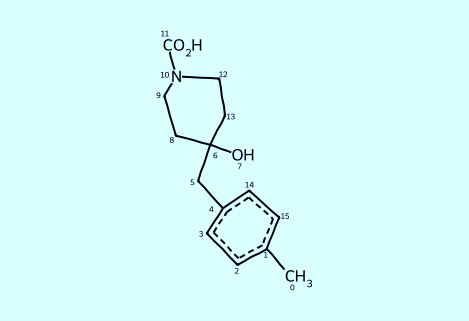 Cc1ccc(CC2(O)CCN(C(=O)O)CC2)cc1